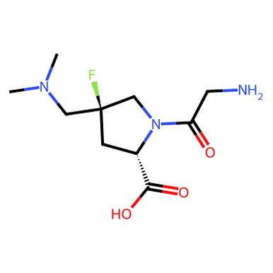 CN(C)C[C@@]1(F)C[C@@H](C(=O)O)N(C(=O)CN)C1